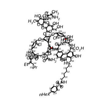 CCCCCCc1ccc(S(=O)(=O)NCCCCCCNCc2c(O)cc3c(c2O)-c2cc(ccc2O)[C@H]2CC(=O)[C@@H]4NC(=O)[C@H](CC(N)=O)CC(=O)[C@H](NC(=O)[C@H](CC)CC(C)C)[C@H](O)c5ccc(c(Cl)c5)Oc5cc4cc(c5O[C@@H]4O[C@H](CO)[C@@H](O)[C@H](O)[C@H]4O[C@H]4C[C@](C)(NC(=O)[C@@H](C)N)[C@H](O)[C@H](C)O4)Oc4ccc(cc4Cl)[C@@H](O)[C@H](NC2=O)C(=O)N[C@@H]3C(=O)O)cc1